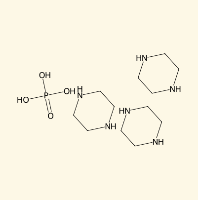 C1CNCCN1.C1CNCCN1.C1CNCCN1.O=P(O)(O)O